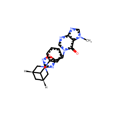 Cn1cnc2ncn(Cc3nc(C4[C@@H]5C[C@H]4CN(c4ccccc4)C5)no3)c(=O)c21